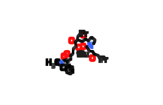 CC(C)CC(=O)CC(C(=O)N1CCCC1C(=O)CC(CC(C)C)C(=O)C(=O)CCC(=O)C[C@H](C(=O)N(C)C)c1ccccc1)C(C)(C)C